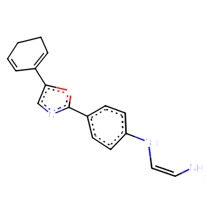 N/C=C\Nc1ccc(-c2ncc(C3=CCCC=C3)o2)cc1